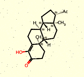 CC(=O)[C@H]1CC[C@H]2[C@@H]3CCC4=C(O)C(=O)CC[C@]4(C)[C@H]3CC[C@]12C